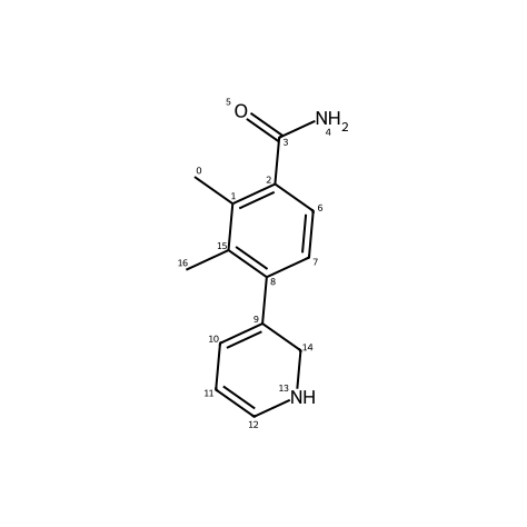 Cc1c(C(N)=O)ccc(C2=CC=CNC2)c1C